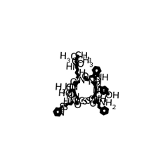 C[C@@H](O)[C@@H]1NC(=O)[C@H](CCCCNC(=O)OC(C)(C)C)NC(=O)[C@@H](Cc2c[nH]c3ccccc23)NC(=O)[C@H](Cc2ccc(O)cc2)NC(=O)[C@@H](NC(=O)[C@H](N)Cc2ccccc2)CSSC[C@@H](C(=O)NCCSSc2ccccn2)NC1=O